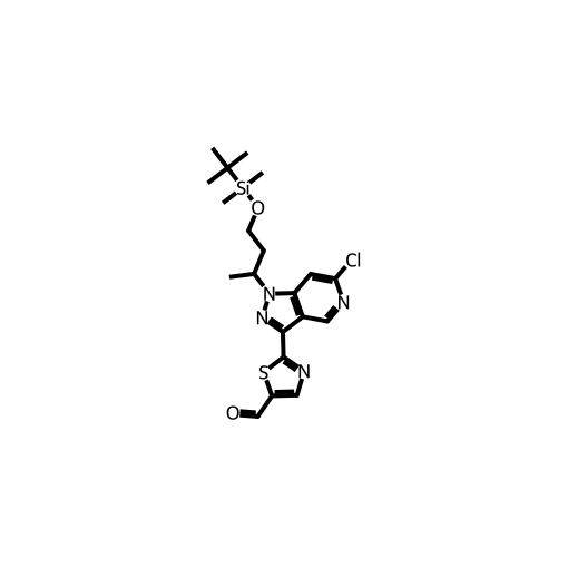 CC(CCO[Si](C)(C)C(C)(C)C)n1nc(-c2ncc(C=O)s2)c2cnc(Cl)cc21